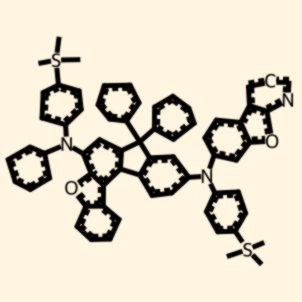 CS(C)(C)c1ccc(N(c2ccc3c(c2)C(c2ccccc2)(c2ccccc2)c2cc(N(c4ccccc4)c4ccc(S(C)(C)C)cc4)c4oc5ccccc5c4c2-3)c2ccc3c(c2)oc2ncccc23)cc1